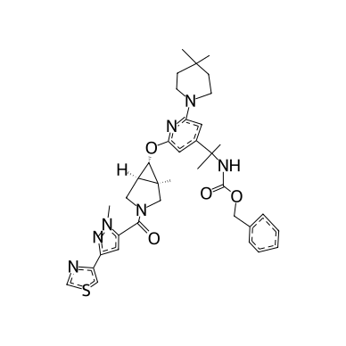 Cn1nc(-c2cscn2)cc1C(=O)N1C[C@H]2[C@H](Oc3cc(C(C)(C)NC(=O)OCc4ccccc4)cc(N4CCC(C)(C)CC4)n3)[C@@]2(C)C1